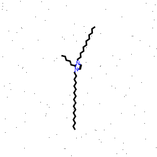 CCCCCCCCCCCCCCCCCCN1C=CN(CCCCCCCCCCCC)C1CCCCC